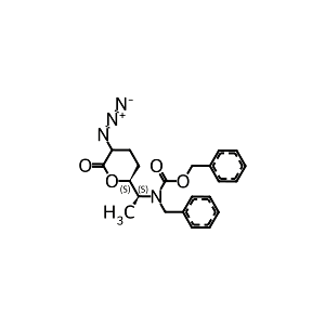 C[C@@H]([C@@H]1CCC(N=[N+]=[N-])C(=O)O1)N(Cc1ccccc1)C(=O)OCc1ccccc1